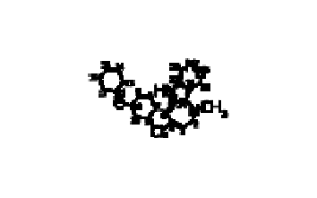 CN1CC=C(Cl)C([C@H]2CC[C@H](OC3CCCCC3)CC2)=c2[nH]c3c(c21)CN=NC=3